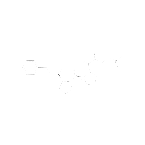 CC(=O)SCC(C)C(=O)N1CCC[C@H]1C(=O)N1CCC[C@H]1C(=O)OCc1ccccc1